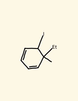 CCC1(C)C=CC=CC1I